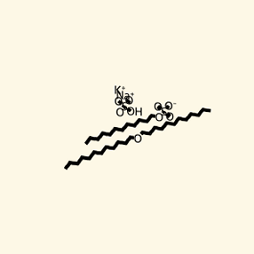 CCCCCCCCCCCCOCCCCCCCCCCCC.CCCCCCCCCCCCOS(=O)(=O)[O-].O=S(=O)([O-])O.[K+].[Na+]